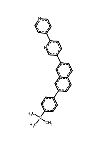 C[Si](C)(C)c1ccc(-c2ccc3ccc(-c4ccc(-c5ccncc5)nc4)cc3c2)cc1